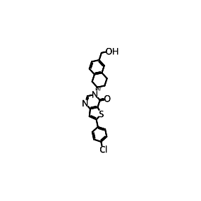 O=c1c2sc(-c3ccc(Cl)cc3)cc2ncn1[C@H]1CCc2cc(CO)ccc2C1